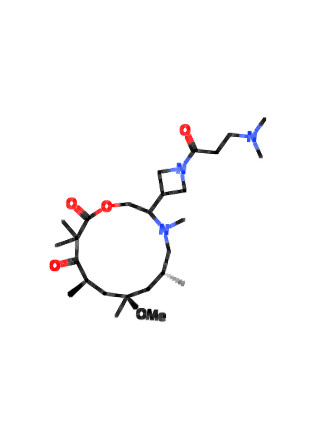 CO[C@]1(C)C[C@@H](C)CN(C)C(C2CN(C(=O)CCN(C)C)C2)COC(=O)C(C)(C)C(=O)[C@H](C)C1